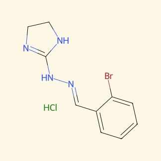 Brc1ccccc1/C=N/NC1=NCCN1.Cl